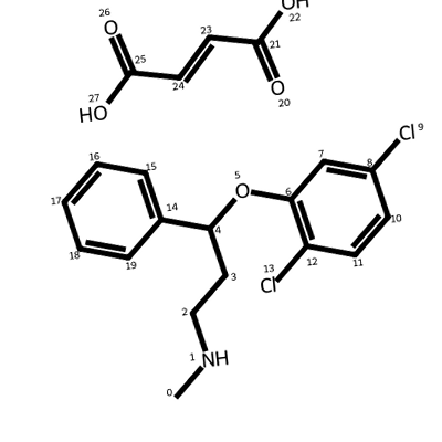 CNCCC(Oc1cc(Cl)ccc1Cl)c1ccccc1.O=C(O)C=CC(=O)O